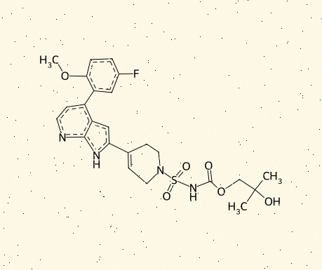 COc1ccc(F)cc1-c1ccnc2[nH]c(C3=CCN(S(=O)(=O)NC(=O)OCC(C)(C)O)CC3)cc12